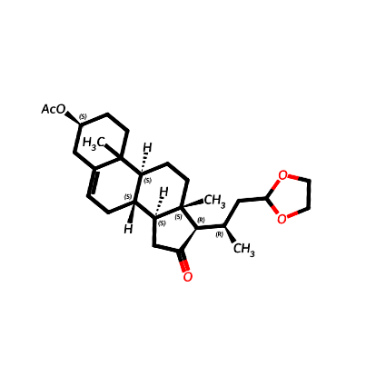 CC(=O)O[C@H]1CCC2(C)C(=CC[C@@H]3[C@@H]2CC[C@]2(C)[C@@H]([C@H](C)CC4OCCO4)C(=O)C[C@@H]32)C1